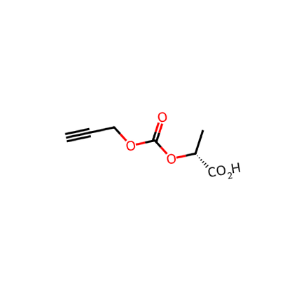 C#CCOC(=O)O[C@H](C)C(=O)O